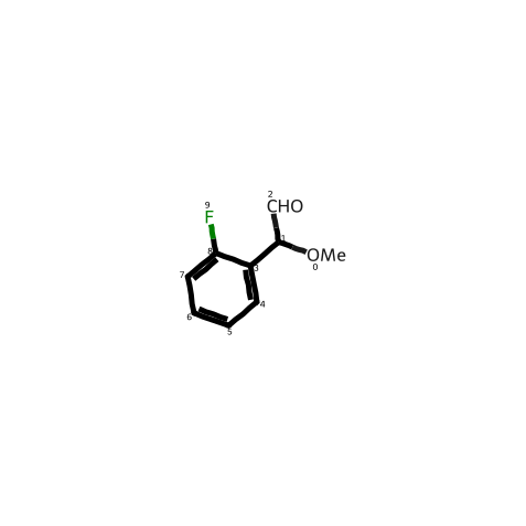 COC(C=O)c1ccccc1F